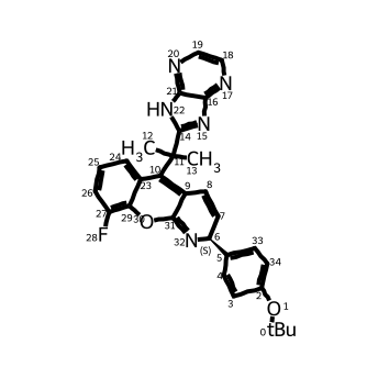 CC(C)(C)Oc1ccc([C@@H]2C=CC3=C(C(C)(C)c4nc5nccnc5[nH]4)c4cccc(F)c4OC3=N2)cc1